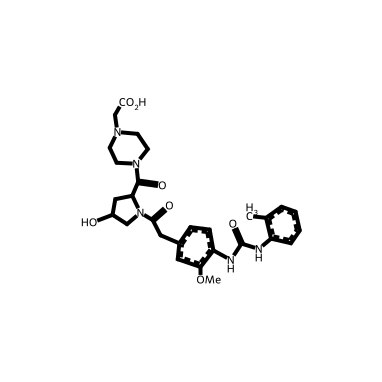 COc1cc(CC(=O)N2CC(O)CC2C(=O)N2CCN(CC(=O)O)CC2)ccc1NC(=O)Nc1ccccc1C